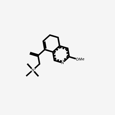 C=C(C[N+](C)(C)C)C1=CCCc2cc(OC)ncc21